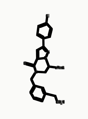 CCCCCC1CN(Cc2cccc(CC(=O)O)c2)C(=O)c2cc(-c3ccc(Cl)cc3)nn21